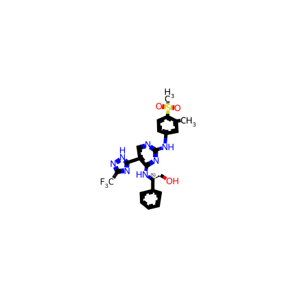 Cc1cc(Nc2ncc(-c3nc(C(F)(F)F)n[nH]3)c(N[C@H](CO)c3ccccc3)n2)ccc1S(C)(=O)=O